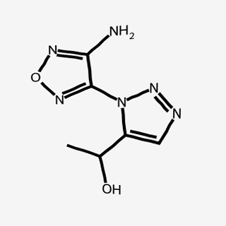 CC(O)c1cnnn1-c1nonc1N